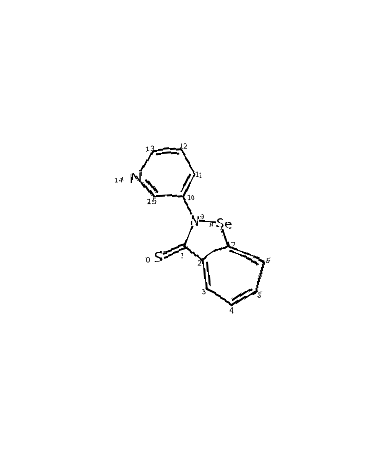 S=c1c2ccccc2[se]n1-c1cccnc1